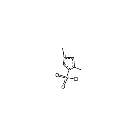 Cc1cn(C)cc1S(=O)(=O)Cl